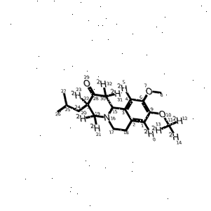 [2H]c1c2c(c([2H])c(OC)c1OC([2H])([2H])[2H])C1N(CC2)C([2H])([2H])C([2H])(CC(C)C)C(=O)C1([2H])[2H]